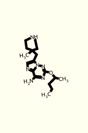 CCCC(C)Oc1nc(N)c2ncc(CC3(C)CCNCC3)n2n1